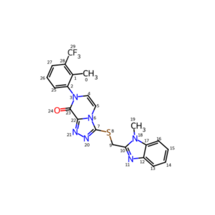 Cc1c(-n2ccn3c(SCc4nc5ccccc5n4C)nnc3c2=O)cccc1C(F)(F)F